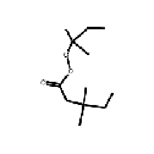 CCC(C)(C)CC(=O)OOC(C)(C)CC